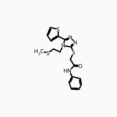 CSCCn1c(SCC(=O)Nc2ccccc2)nnc1-c1cccs1